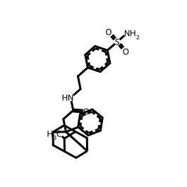 CC1C2CC3CC1CC(C2)C3(CC(=O)NCCc1ccc(S(N)(=O)=O)cc1)c1ccccc1